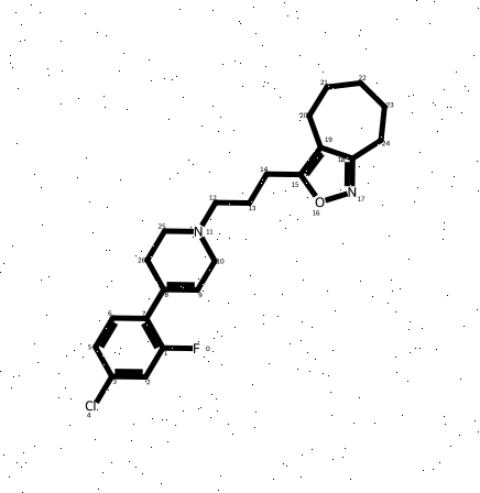 Fc1cc(Cl)ccc1C1=CCN(CCCc2onc3c2CCCCC3)CC1